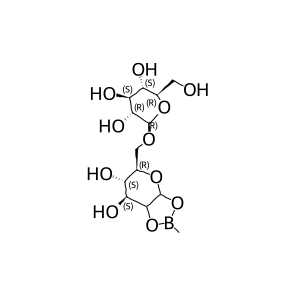 CB1OC2O[C@H](CO[C@@H]3O[C@H](CO)[C@@H](O)[C@H](O)[C@H]3O)[C@@H](O)[C@H](O)C2O1